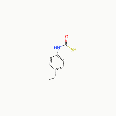 CCc1ccc(NC(=O)S)cc1